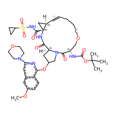 COc1ccc2c(OC3C[C@H]4C(=O)N[C@]5(C(=O)NS(=O)(=O)C6CC6)C[C@H]5/C=C\CCCOC[C@H](NC(=O)OC(C)(C)C)C(=O)N4C3)nc(N3CCOCC3)cc2c1